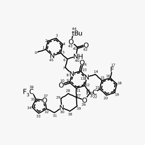 Cc1cccc(C(Cn2c(=O)c3c(n(Cc4c(F)cccc4C(F)(F)F)c2=O)COC32CCN(Cc3ccc(C(F)(F)F)o3)CC2)NC(=O)OC(C)(C)C)n1